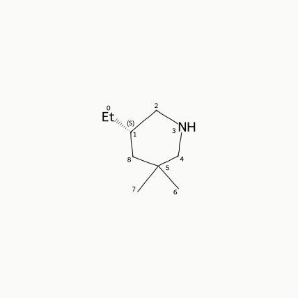 CC[C@@H]1CNCC(C)(C)C1